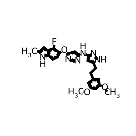 COc1cc(CCc2cc(Nc3cc(Oc4ccc5[nH]c(C)cc5c4F)ncn3)n[nH]2)cc(OC)c1